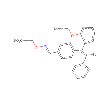 CCOC(=O)CON=Cc1ccc(C(=C(CC)c2ccccc2)c2ccccc2OCNC)cc1